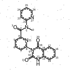 CN(C(=O)c1cccc(-n2c(=O)[nH]c3ccccc3c2=O)n1)c1ccccn1